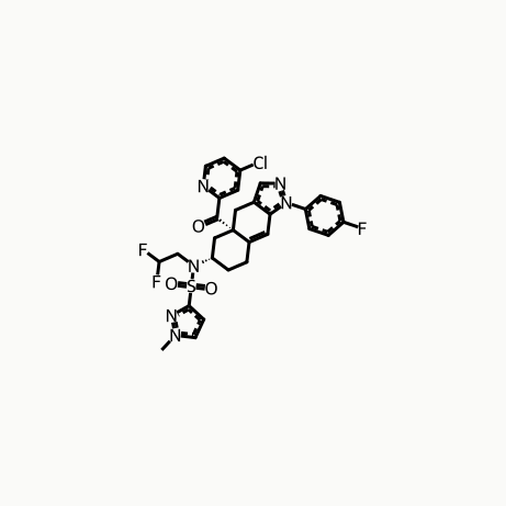 Cn1ccc(S(=O)(=O)N(CC(F)F)[C@H]2CCC3=Cc4c(cnn4-c4ccc(F)cc4)C[C@]3(C(=O)c3cc(Cl)ccn3)C2)n1